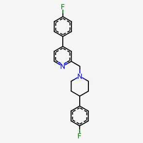 Fc1ccc(-c2ccnc(CN3CCC(c4ccc(F)cc4)CC3)c2)cc1